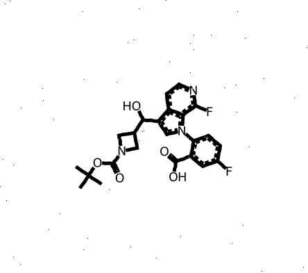 CC(C)(C)OC(=O)N1CC(C(O)c2cn(-c3ccc(F)cc3C(=O)O)c3c(F)nccc23)C1